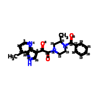 Cc1ccnc2c(C(=O)C(=O)N3CCN(C(=O)c4ccccc4)[C@H](C)C3)c[nH]c12